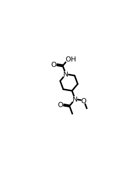 CON(C(C)=O)C1CCN(C(=O)O)CC1